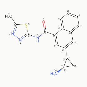 Cc1nnc(NC(=O)c2cc([C@@H]3C[C@H]3N)cc3ccccc23)s1